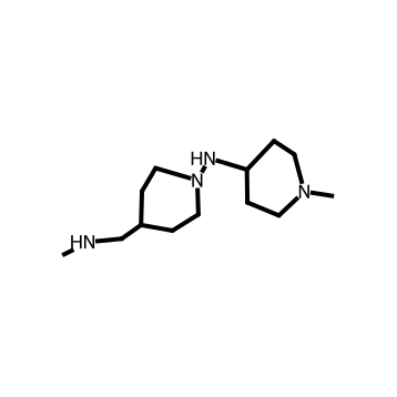 CNCC1CCN(NC2CCN(C)CC2)CC1